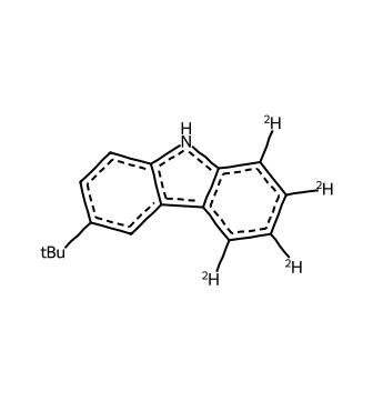 [2H]c1c([2H])c([2H])c2c([nH]c3ccc(C(C)(C)C)cc32)c1[2H]